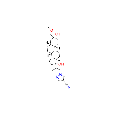 COC[C@@]1(O)CC[C@@H]2C3CC[C@@]4(C)C(CC[C@]4(O)[C@H](C)Cn4cc(C#N)cn4)[C@@H]3CC[C@@H]2C1